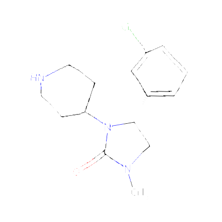 CN1C[C@@H](c2cccc(Cl)c2)N(C2CCNCC2)C1=O